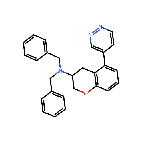 c1ccc(CN(Cc2ccccc2)C2COc3cccc(-c4ccnnc4)c3C2)cc1